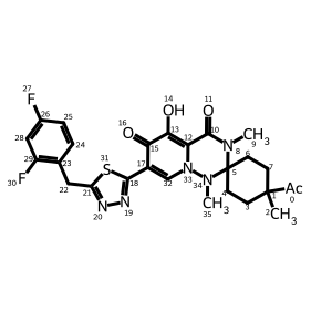 CC(=O)C1(C)CCC2(CC1)N(C)C(=O)c1c(O)c(=O)c(-c3nnc(Cc4ccc(F)cc4F)s3)cn1N2C